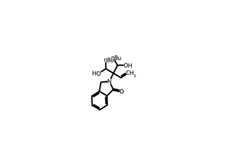 C=CC(C(O)CCCC)(C(O)CCCC)N1Cc2ccccc2C1=O